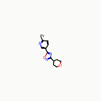 CC(C)c1ccc(-c2nc(C3CCOCC3)no2)cn1